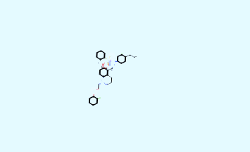 CCOC(=O)CCc1ccc(N(Cc2cccc3c2CCCN3CCOc2ccccc2F)S(=O)(=O)c2ccccc2[N+](=O)[O-])cc1F